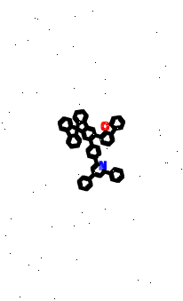 c1ccc(-c2cc(-c3ccccc3)nc(-c3ccc(-c4cc5c(cc4-c4cccc6c4oc4ccccc46)-c4ccccc4C54c5ccccc5-c5ccccc54)cc3)c2)cc1